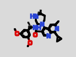 COc1cc(OC)cc([C@H](C)NC(=O)c2cnc3c(C4CC4)nc(C)cc3c2N2CCN[C@@H](C)CC2)c1